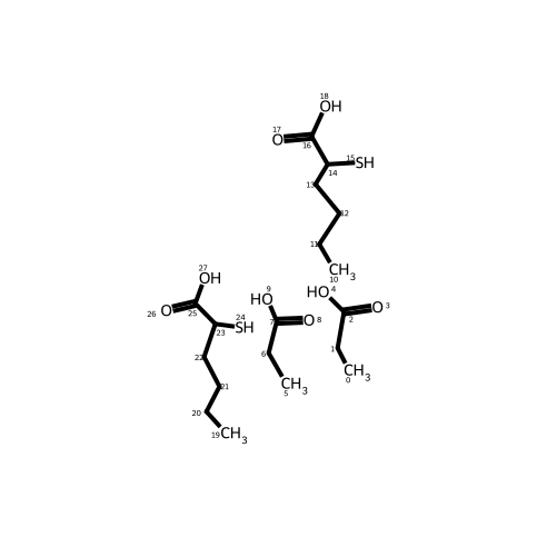 CCC(=O)O.CCC(=O)O.CCCCC(S)C(=O)O.CCCCC(S)C(=O)O